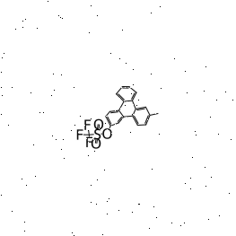 Cc1ccc2c(c1)c1ccccc1c1ccc(OS(=O)(=O)C(F)(F)F)cc12